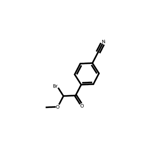 COC(Br)C(=O)c1ccc(C#N)cc1